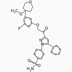 COC1(c2cc(F)cc(OCC(=O)c3cc(-c4ccccc4)n(-c4ccc(S(N)(=O)=O)cc4)n3)c2)CCOCC1